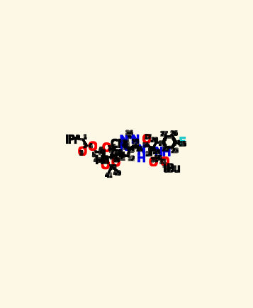 CC(C)CC(=O)OC[C@H]1O[C@@](C#N)(c2ccc3c(NC(=O)[C@@](C)(Cc4ccc(F)cc4)NC(=O)OC(C)(C)C)ncnn23)[C@@H]2OC(C)(C)O[C@@H]21